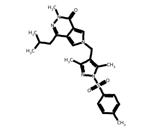 Cc1ccc(S(=O)(=O)n2nc(C)c(Cn3cc4c(CC(C)C)nn(C)c(=O)c4c3)c2C)cc1